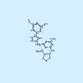 COC1CCCC1Nc1cc(C)cc(Nc2ncn(-c3cc(F)cc(F)c3)n2)c1